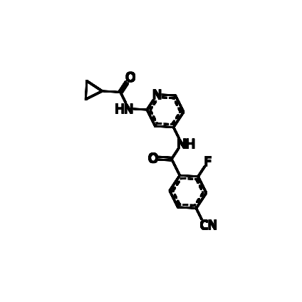 N#Cc1ccc(C(=O)Nc2ccnc(NC(=O)C3CC3)c2)c(F)c1